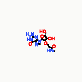 CNC(=O)CCO[C@H]1C(O)[C@@H](CO)O[C@H]1n1cnc2c(=O)[nH]c(N)nc21